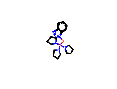 c1ccc2c(c1)nnn2O[P](N1CCCC1)(N1CCCC1)N1CCCC1